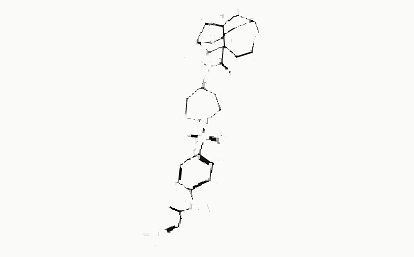 C=CC(=O)Nc1ccc(S(=O)(=O)N2CCC(N(C)C(=O)C34CCCC5CC(CC3C5)C4)CC2)cc1